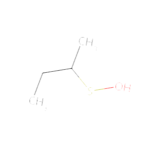 CCC(C)SO